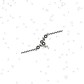 CCCCCCCCCCCCOc1ccc(N=Nc2cccc3c(N=Nc4ccc(OCCCCCCCCCCCC)cc4)c(N)ccc23)cc1